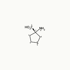 N[C@@]1(C(=O)O)CCSC1